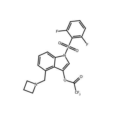 O=C(Oc1cn(S(=O)(=O)c2c(F)cccc2F)c2cccc(CN3CCC3)c12)C(F)(F)F